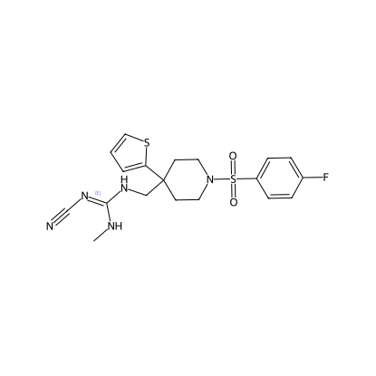 CN/C(=N\C#N)NCC1(c2cccs2)CCN(S(=O)(=O)c2ccc(F)cc2)CC1